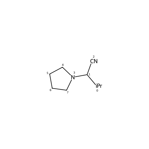 CC(C)C(C#N)N1CCCC1